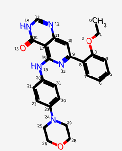 CCOc1ccccc1-c1cc2nc[nH]c(=O)c2c(Nc2ccc(N3CCOCC3)cc2)n1